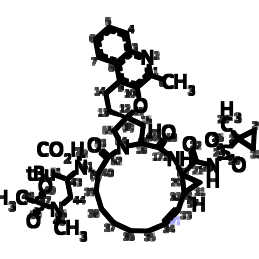 Cc1nc2ccccc2c2c1O[C@]1(CC2)C[C@H]2C(=O)N[C@]3(C(=O)NS(=O)(=O)C4(C)CC4)C[C@H]3/C=C\CCCCC[C@H](N(C(=O)O)C(CN(C)S(C)(=O)=O)C(C)(C)C)C(=O)N2C1